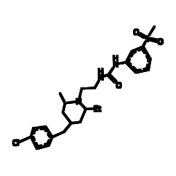 CCC1CC(Cc2ccc(Cl)cc2)CC(C)N1CCNC(=O)Nc1cccc(S(C)(=O)=O)c1